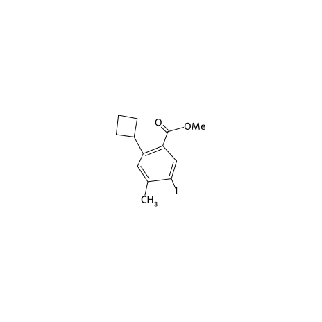 COC(=O)c1cc(I)c(C)cc1C1CCC1